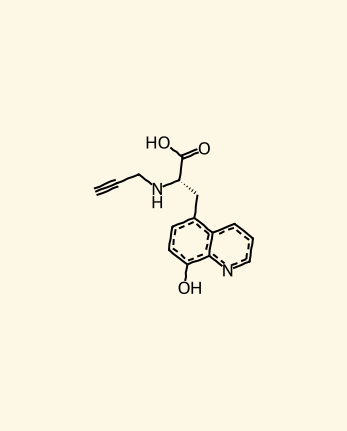 C#CCN[C@@H](Cc1ccc(O)c2ncccc12)C(=O)O